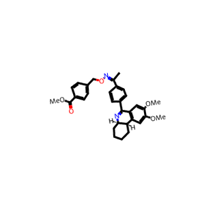 COC(=O)c1ccc(CO/N=C(/C)c2ccc(C3=N[C@@H]4CCCC[C@@H]4c4cc(OC)c(OC)cc43)cc2)cc1